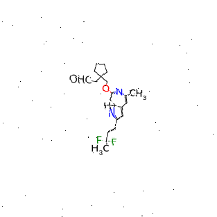 CC1=CC2=CC(CCC(C)(F)F)=N[C@@H]2CC(OCC2(CC=O)CCCC2)=N1